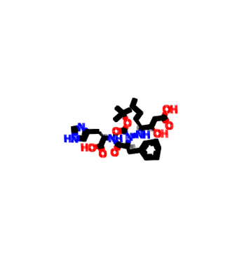 CCCC[C@H](NN(C(=O)OC(C)(C)C)[C@@H](Cc1ccccc1)C(=O)N[C@@H](Cc1c[nH]cn1)C(=O)O)[C@@H](O)CC(=O)O